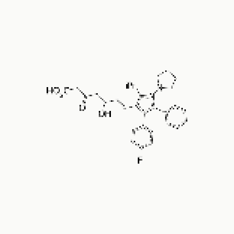 CC(C)c1c(C=CC(O)CC(=O)CC(=O)O)c(-c2ccc(F)cc2)c(-c2ccccc2)n1N1CCCC1